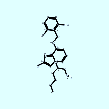 CCCC[C@H](CN)[N+]12C=CC=C(OCc3c(F)cccc3F)C1=NC(C)=C2